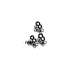 O=S(=O)([O-])c1ccc2ccccc2c1S(=O)(=O)[O-].O=S(=O)([O-])c1ccc2ccccc2c1S(=O)(=O)[O-].O=S(=O)([O-])c1ccc2ccccc2c1S(=O)(=O)[O-].[Fe+3].[Fe+3]